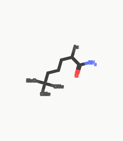 CO[Si](CCCC(C(C)=O)C(N)=O)(OC)OC